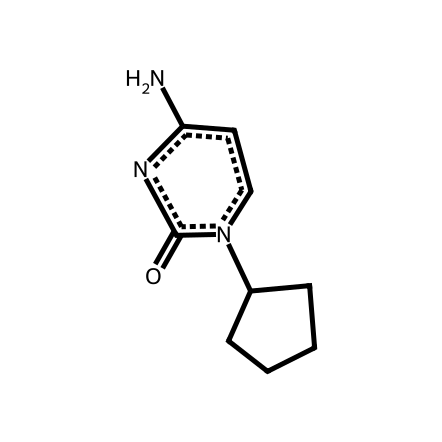 Nc1ccn(C2CCCC2)c(=O)n1